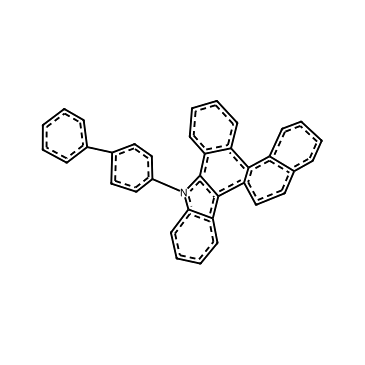 c1ccc(-c2ccc(-n3c4ccccc4c4c5ccc6ccccc6c5c5ccccc5c43)cc2)cc1